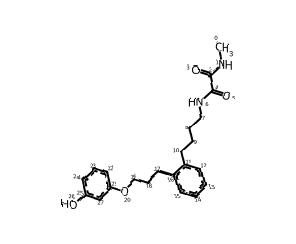 CNC(=O)C(=O)NCCCCc1ccccc1CCCOc1cccc(O)c1